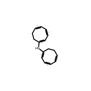 C1=C\C=C(\N/C2=C/C=C\C=C/CC2)CC\C=C/1